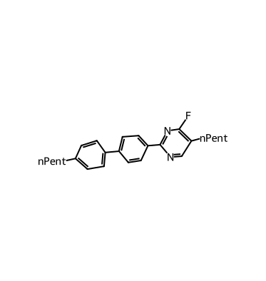 CCCCCc1ccc(-c2ccc(-c3ncc(CCCCC)c(F)n3)cc2)cc1